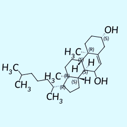 CC(C)CCCC(C)[C@H]1CC[C@H]2[C@@H]3C(O)C=C4C[C@@H](O)CC[C@]4(C)[C@H]3CC[C@]12C